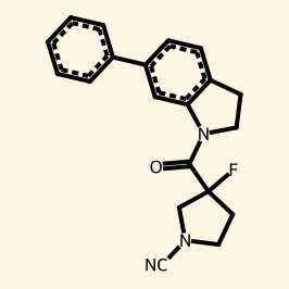 N#CN1CCC(F)(C(=O)N2CCc3ccc(-c4ccccc4)cc32)C1